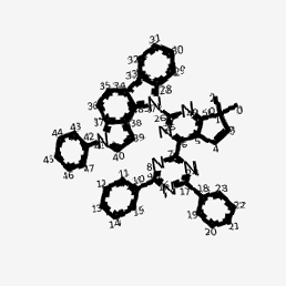 CC1(C)C=Cc2c(-c3nc(-c4ccccc4)nc(-c4ccccc4)n3)nc(-n3c4ccccc4c4ccc5c(ccn5-c5ccccc5)c43)nc21